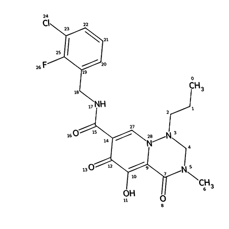 CCCN1CN(C)C(=O)c2c(O)c(=O)c(C(=O)NCc3cccc(Cl)c3F)cn21